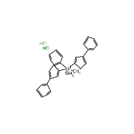 Cl.Cl.[CH3][Hf](=[SiH2])([C]1=CC(c2ccccc2)=CC1)([C]1=CC(c2ccccc2)=CC1)[c]1ccccc1